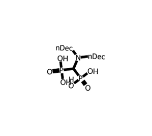 CCCCCCCCCCN(CCCCCCCCCC)C(P(=O)(O)O)P(=O)(O)O